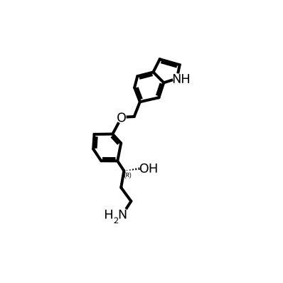 NCC[C@@H](O)c1cccc(OCc2ccc3cc[nH]c3c2)c1